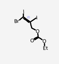 CCOC(=O)OC/C(I)=C(\Br)I